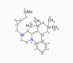 COCC1CC1CN1CCN(c2ccccc2C2CC(C)(C)CC(C)(C)C2)CC1